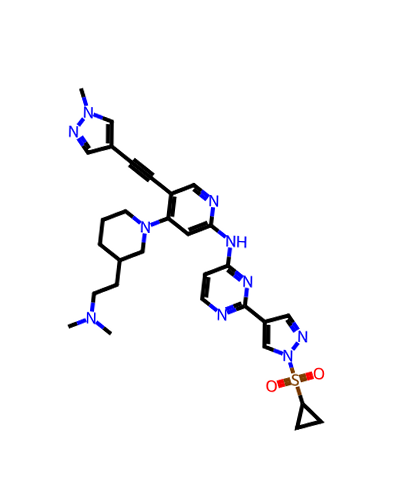 CN(C)CCC1CCCN(c2cc(Nc3ccnc(-c4cnn(S(=O)(=O)C5CC5)c4)n3)ncc2C#Cc2cnn(C)c2)C1